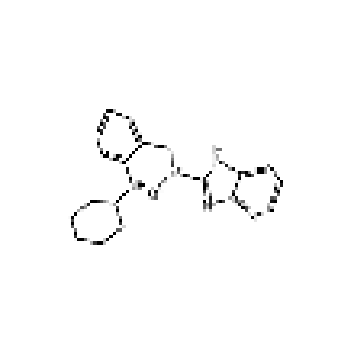 [O-][S+](Cc1ccccc1NC1CCCCC1)c1nc2ncccc2[nH]1